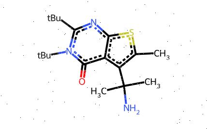 Cc1sc2nc(C(C)(C)C)n(C(C)(C)C)c(=O)c2c1C(C)(C)N